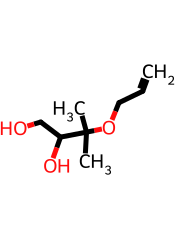 C=CCOC(C)(C)C(O)CO